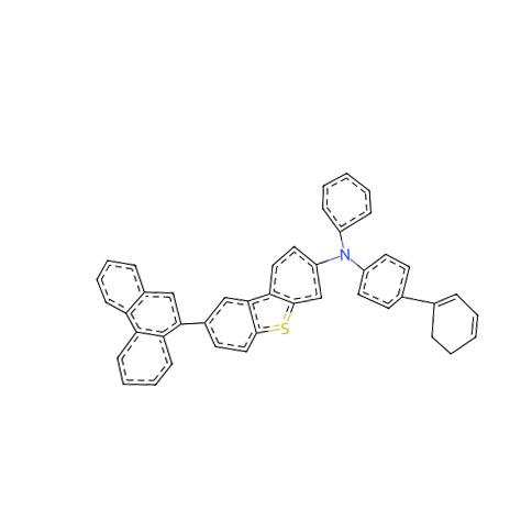 C1=CCCC(c2ccc(N(c3ccccc3)c3ccc4c(c3)sc3ccc(-c5cc6ccccc6c6ccccc56)cc34)cc2)=C1